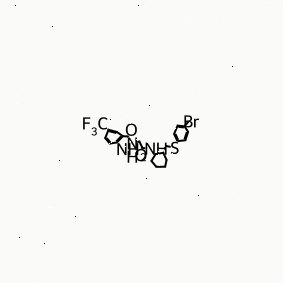 Nc1ccc(C(F)(F)F)cc1C(=O)NCC(=O)N[C@H]1CCCC[C@H]1CSc1ccc(Br)cc1